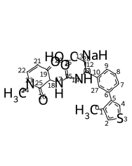 Cc1cscc1-c1cccc([C@H](CC(=O)O)NC(=O)NC2C(=O)C=CN(C)C2=O)c1.[NaH]